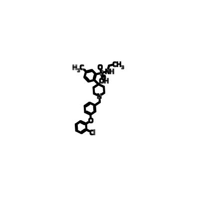 CCNS(=O)(=O)c1cc(C)ccc1C1(O)CCN(Cc2cccc(Oc3ccccc3Cl)c2)CC1